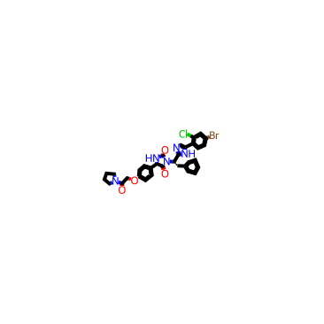 O=C(COc1ccc(C2NC(=O)N([C@@H](Cc3ccccc3)c3ncc(-c4ccc(Br)cc4Cl)[nH]3)C2=O)cc1)N1CCCC1